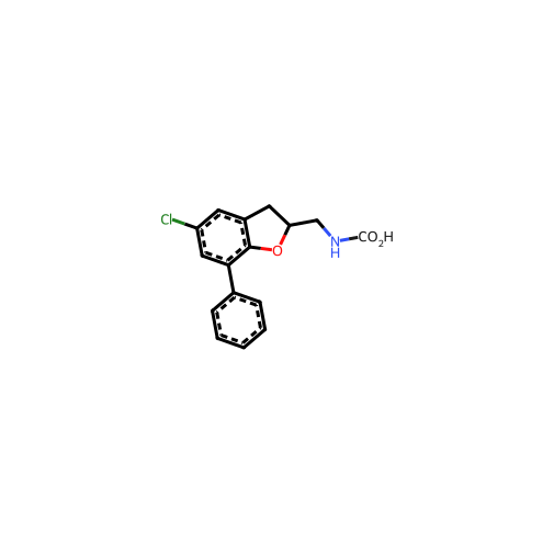 O=C(O)NCC1Cc2cc(Cl)cc(-c3ccccc3)c2O1